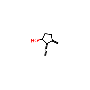 C=C=C1C(=C)CC[C@@H]1O